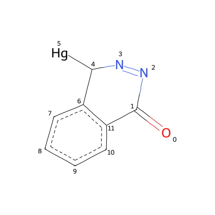 O=C1N=N[CH]([Hg])c2ccccc21